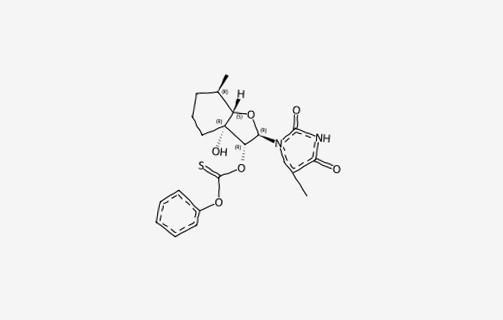 Cc1cn([C@@H]2O[C@H]3[C@H](C)CCC[C@]3(O)[C@H]2OC(=S)Oc2ccccc2)c(=O)[nH]c1=O